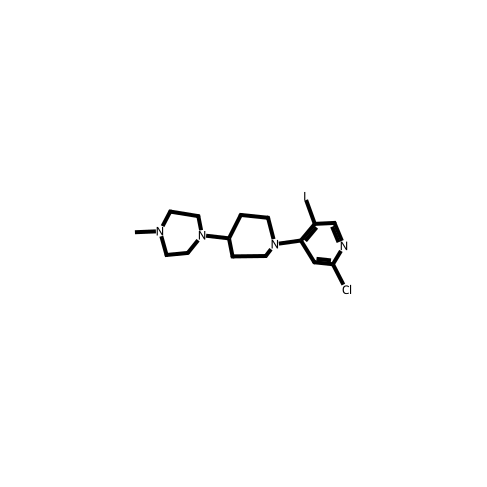 CN1CCN(C2CCN(c3cc(Cl)ncc3I)CC2)CC1